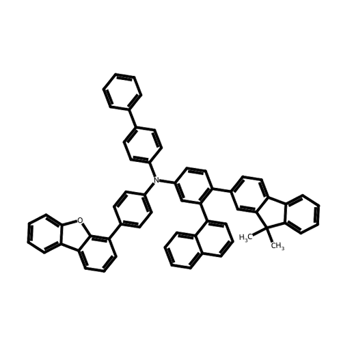 CC1(C)c2ccccc2-c2ccc(-c3ccc(N(c4ccc(-c5ccccc5)cc4)c4ccc(-c5cccc6c5oc5ccccc56)cc4)cc3-c3cccc4ccccc34)cc21